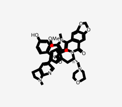 COCc1c(C(=O)N(c2ccc(O)cc2)c2cnc3c(c2)CCN3C)cc(-c2cc3c(cc2C(=O)N2Cc4ccccc4C[C@H]2CN2CCOCC2)OCO3)n1C